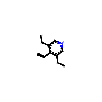 C=Cc1c(CC)cncc1CC